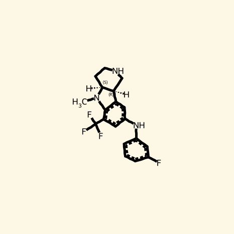 CN1c2c(cc(Nc3cccc(F)c3)cc2C(F)(F)F)[C@@H]2CNCC[C@@H]21